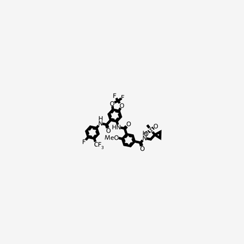 COc1ccc(C(=O)NCC2(S(C)(=O)=O)CC2)cc1C(=O)Nc1cc2c(cc1C(=O)Nc1ccc(F)c(C(F)(F)F)c1)OC(F)(F)O2